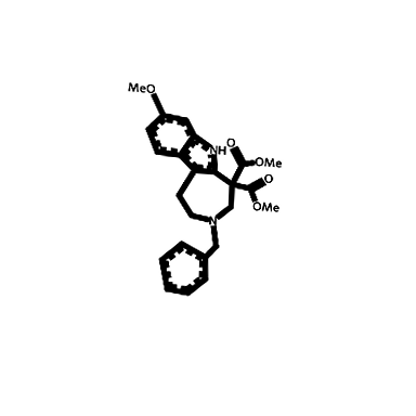 COC(=O)C1(C(=O)OC)CN(Cc2ccccc2)CCc2c1[nH]c1cc(OC)ccc21